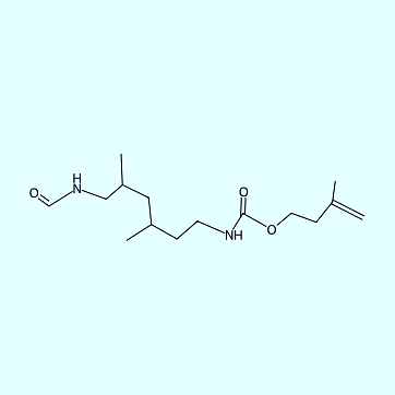 C=C(C)CCOC(=O)NCCC(C)CC(C)CNC=O